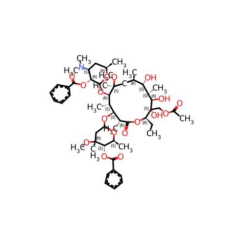 CC[C@H]1OC(=O)[C@H](C)[C@@H](OC2C[C@@](C)(OC)[C@@H](OC(=O)c3ccccc3)[C@H](C)O2)[C@H](C)[C@@H](OC2O[C@H](C)C[C@H](N(C)C)[C@H]2OC(=O)c2ccccc2)[C@@](C)(OC)C[C@@H](C)[C@H](O)[C@H](C)[C@@H](O)[C@@]1(O)COC(C)=O